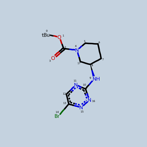 CC(C)(C)OC(=O)N1CCC[C@@H](Nc2ncc(Br)nn2)C1